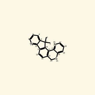 CC1(C)c2cccnc2-c2ccc3c(c21)-c1ncccc1SC3